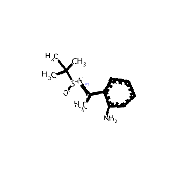 C/C(=N\[S+]([O-])C(C)(C)C)c1ccccc1N